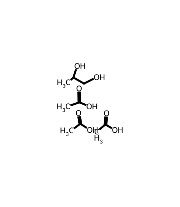 CC(=O)O.CC(=O)O.CC(=O)O.CC(O)CO